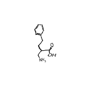 NCC(CCc1ccccc1)C(=O)O